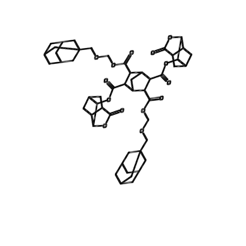 O=C1OC2C3CC(CC13)C2OC(=O)C1C2CC(C1C(=O)OCOCC13CC4CC(CC(C4)C1)C3)C(C(=O)OC1C3CC4C(=O)OC1C4C3)C2C(=O)OCOCC12CC3CC(CC(C3)C1)C2